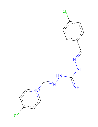 N=C(NN=Cc1ccc(Cl)cc1)N/N=C/[n+]1ccc(Cl)cc1